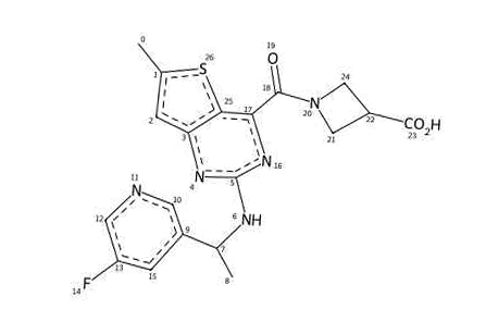 Cc1cc2nc(NC(C)c3cncc(F)c3)nc(C(=O)N3CC(C(=O)O)C3)c2s1